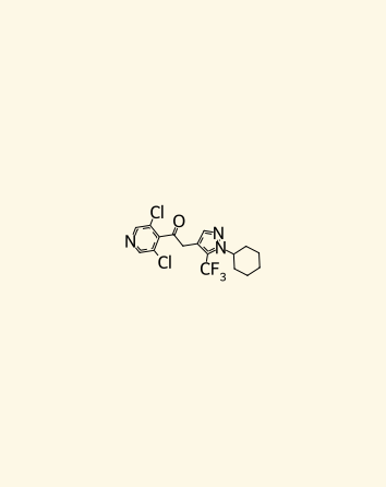 O=C(Cc1cnn(C2CCCCC2)c1C(F)(F)F)c1c(Cl)cncc1Cl